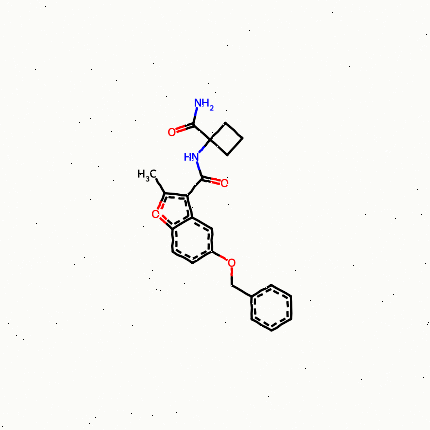 Cc1oc2ccc(OCc3ccccc3)cc2c1C(=O)NC1(C(N)=O)CCC1